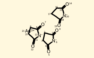 O=C1CCC(=O)[N-]1.O=C1CCC(=O)[N-]1.O=C1CCC(=O)[N-]1.[Au+3]